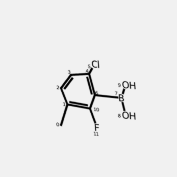 Cc1ccc(Cl)c(B(O)O)c1F